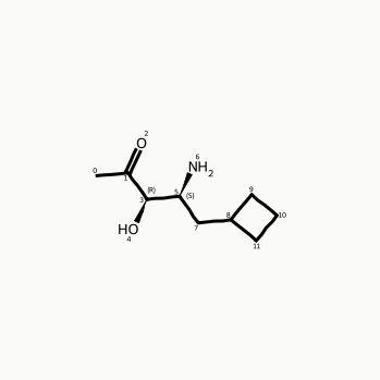 CC(=O)[C@H](O)[C@@H](N)CC1CCC1